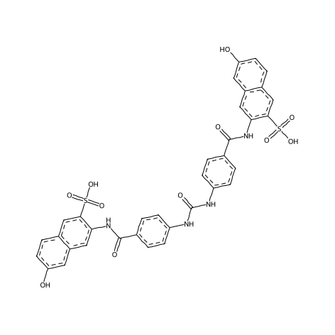 O=C(Nc1ccc(C(=O)Nc2cc3cc(O)ccc3cc2S(=O)(=O)O)cc1)Nc1ccc(C(=O)Nc2cc3cc(O)ccc3cc2S(=O)(=O)O)cc1